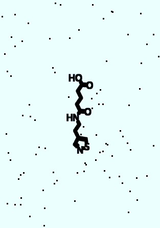 O=C(O)CCCC(=O)NCCc1cnsc1